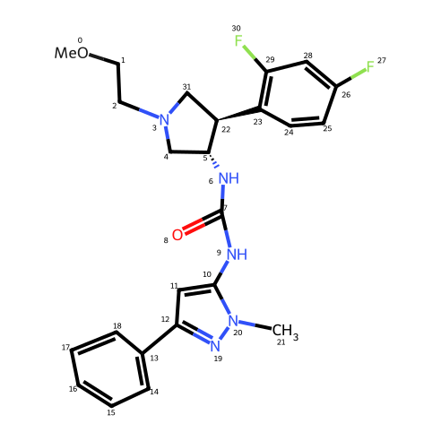 COCCN1C[C@@H](NC(=O)Nc2cc(-c3ccccc3)nn2C)[C@H](c2ccc(F)cc2F)C1